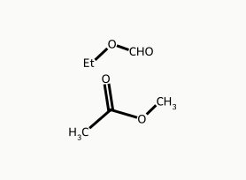 CCOC=O.COC(C)=O